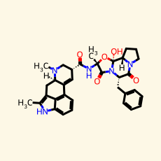 Cc1[nH]c2cccc3c2c1C[C@@H]1C3=C[C@@H](C(=O)N[C@]2(C)O[C@@]3(O)[C@@H]4CCCN4C(=O)[C@H](Cc4ccccc4)N3C2=O)CN1C